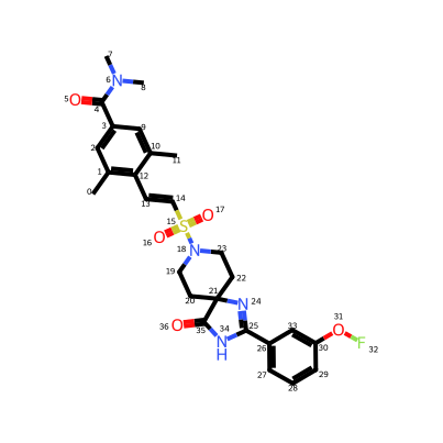 Cc1cc(C(=O)N(C)C)cc(C)c1/C=C/S(=O)(=O)N1CCC2(CC1)N=C(c1cccc(OF)c1)NC2=O